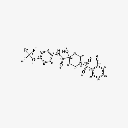 O=C(Nc1ccc(OC(F)(F)F)cc1)C1(O)CCN(S(=O)(=O)c2ccccc2Cl)CC1